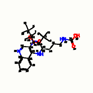 CC(C)(C)C(O[Si](C)(C)C(C)(C)C)[C@H](CCCNC(=O)O)Nc1c([N+](=O)[O-])cnc2ccccc12